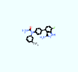 NC(=O)N(c1ccc(-c2ccc(F)c3[nH]nc(N)c23)cc1)c1cccc(C(F)(F)F)c1